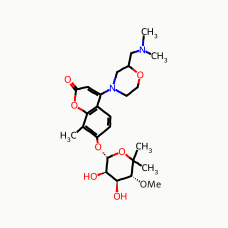 CO[C@@H]1[C@@H](O)[C@@H](O)[C@H](Oc2ccc3c(N4CCOC(CN(C)C)C4)cc(=O)oc3c2C)OC1(C)C